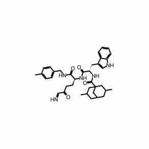 Cc1ccc(CNC(=O)[C@H](CCC(=O)C=N)NC(=O)[C@H](Cc2c[nH]c3ccccc23)NC(=O)C23CC(C)CC(CC(C)C2)C3)cc1